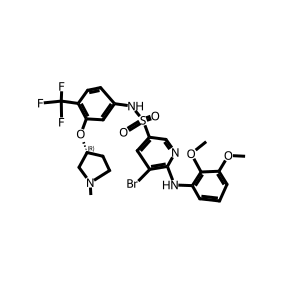 COc1cccc(Nc2ncc(S(=O)(=O)Nc3ccc(C(F)(F)F)c(O[C@@H]4CCN(C)C4)c3)cc2Br)c1OC